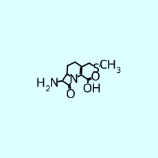 CSCC1=C(C(=O)O)N2C(=O)C(N)C2CC1